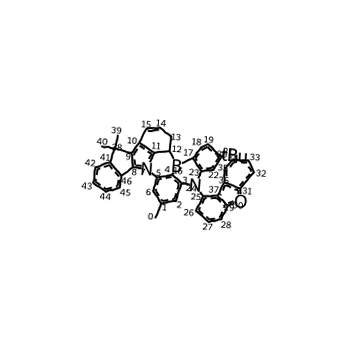 Cc1cc2c3c(c1)-n1c4c(c5c1C(CC=C5)B3c1ccc(C(C)(C)C)cc1N2c1cccc2oc3ccccc3c12)C(C)(C)c1ccccc1-4